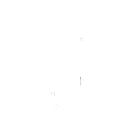 O=C(Nc1cccc(C#Cc2ccccn2)c1)c1ccc(N2CC3(CCC3)C2=O)cc1